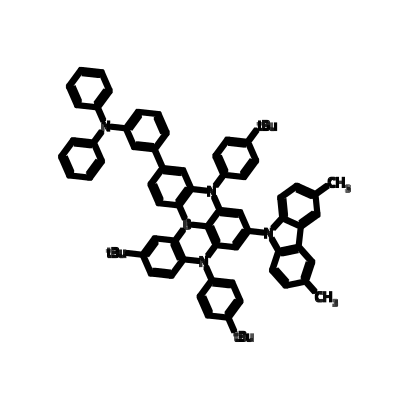 Cc1ccc2c(c1)c1cc(C)ccc1n2-c1cc2c3c(c1)N(c1ccc(C(C)(C)C)cc1)c1cc(-c4cccc(N(c5ccccc5)c5ccccc5)c4)ccc1B3c1cc(C(C)(C)C)ccc1N2c1ccc(C(C)(C)C)cc1